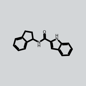 O=C(NC1CCc2ccccc21)c1cc2ccccc2[nH]1